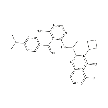 CC(C)c1ccc(C(=N)c2c(N)ncnc2NC(C)c2nc3cccc(F)c3c(=O)n2C2CCC2)cc1